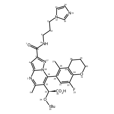 Cc1nc2cc(C(=O)NCCCn3ccnc3)nn2c(-c2cc(F)c3c(c2C)CCCO3)c1[C@H](OC(C)(C)C)C(=O)O